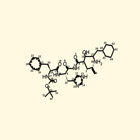 C=CCC(C(=O)NC(=O)[C@H](Cc1c[nH]cn1)NC(=O)[C@H](Cc1ccccc1)NC(=O)OC(C)(C)C)C(O)C(N)CC1CCCCC1